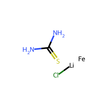 NC(N)=S.[Fe].[Li][Cl]